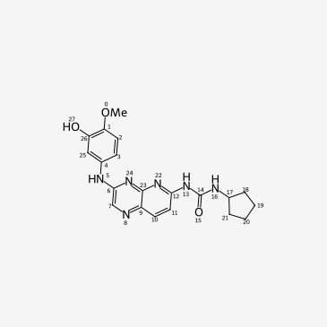 COc1ccc(Nc2cnc3ccc(NC(=O)NC4CCCC4)nc3n2)cc1O